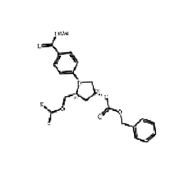 COC(=O)c1ccc(N2C[C@H](OC(=O)OCc3ccccc3)C[C@H]2COC(F)F)cc1